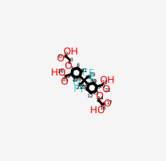 O=C(O)COc1ccc(C(c2ccc(OCC(=O)O)c(C(=O)O)c2)(C(F)(F)F)C(F)(F)F)cc1C(=O)O